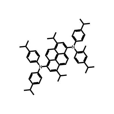 Cc1cc(C(C)C)ccc1N(c1ccc(C(C)C)cc1)c1cc(C(C)C)c2ccc3c(N(c4ccc(C(C)C)cc4)c4ccc(C(C)C)cc4)cc(C(C)C)c4ccc1c2c43